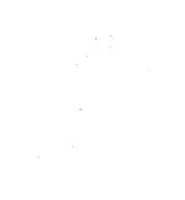 CC(=O)NC1CCN(CC2Cc3ccc(Oc4ccc(-c5ccnn5COCC[Si](C)(C)C)cn4)cc3O2)CC1